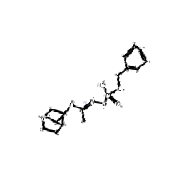 C/C(=N\OP(=O)(O)OCc1ccccc1)OC1CN2CCC1CC2